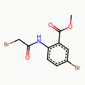 COC(=O)c1cc(Br)ccc1NC(=O)CBr